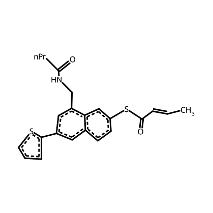 C/C=C/C(=O)Sc1ccc2cc(-c3cccs3)cc(CNC(=O)CCC)c2c1